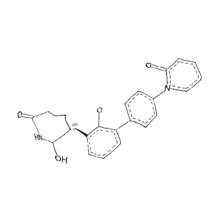 O=C1CC[C@@H](c2cccc(-c3ccc(-n4ccccc4=O)cc3)c2Cl)C(O)N1